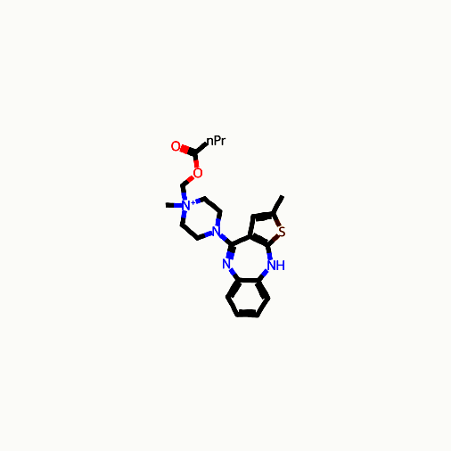 CCCC(=O)OC[N+]1(C)CCN(C2=Nc3ccccc3Nc3sc(C)cc32)CC1